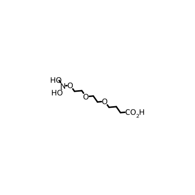 O=C(O)CCCOCCOCCON(O)O